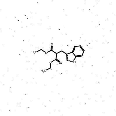 CCOC(=O)C(Cc1c[nH]c2ccccc12)C(=O)OCC